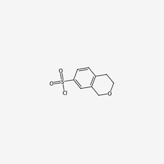 O=S(=O)(Cl)c1ccc2c(c1)COCC2